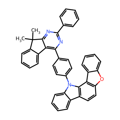 CC1(C)c2ccccc2-c2c(-c3ccc(-n4c5ccccc5c5ccc6oc7ccccc7c6c54)cc3)nc(-c3ccccc3)nc21